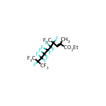 CCOC(=O)C(C)=CC(F)(C(F)(F)F)C(F)(F)C(F)(F)C(F)(F)C(F)(F)C(F)(C(F)(F)F)C(F)(F)F